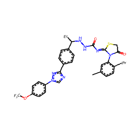 CCC(NNC(=O)/N=C1\SCC(=O)N1c1cc(C)ccc1C(C)C)c1ccc(-c2ncn(-c3ccc(OC(F)(F)F)cc3)n2)cc1